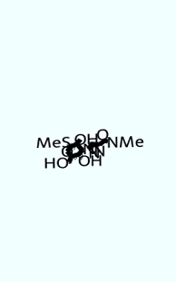 CNC(=O)c1cn(C2C(O)[C@H](SC)OC(CO)[C@@H]2O)nn1